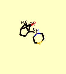 C1CSCCN1.CC12CCC(CC1=O)C2(C)C